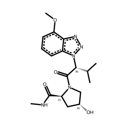 CNC(=O)[C@@H]1C[C@@H](O)CN1C(=O)[C@@H](C(C)C)n1nnc2c(OC)cccc21